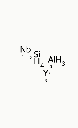 [AlH3].[Nb].[SiH4].[Y]